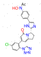 CC(=O)N(O)c1ccc(-c2cnc([C@@H]3CCc4cc(-c5cc(Cl)ccc5-n5cnnn5)cc(=O)n43)[nH]2)cc1